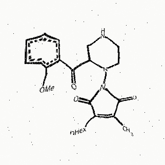 CCCCCCC1=C(C)C(=O)N(N2CCNCC2C(=O)c2ccccc2OC)C1=O